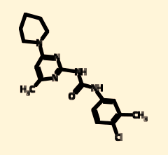 Cc1cc(N2CCCCC2)nc(NC(=O)Nc2ccc(Cl)c(C)c2)n1